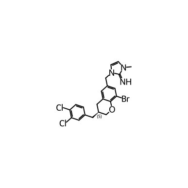 Cn1ccn(Cc2cc(Br)c3c(c2)C[C@H](Cc2ccc(Cl)c(Cl)c2)CO3)c1=N